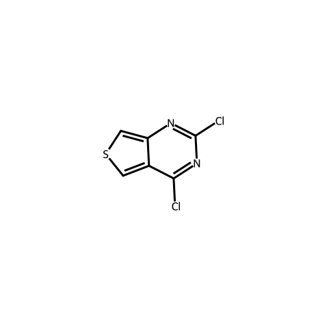 Clc1nc(Cl)c2cscc2n1